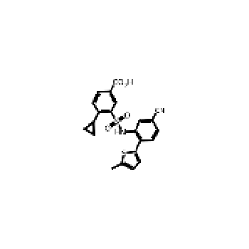 Cc1ccc(-c2ccc(C#N)cc2NS(=O)(=O)c2cc(C(=O)O)ccc2C2CC2)s1